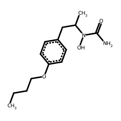 CCCCOc1ccc(CC(C)N(O)C(N)=O)cc1